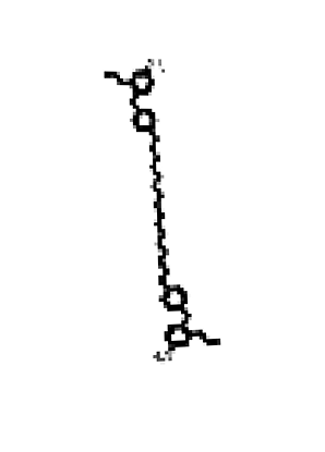 CCCc1cc(N)ccc1Cc1ccc(CCCCCCCCCCCCCCCCc2ccc(Cc3ccc(N)cc3CCC)cc2)cc1